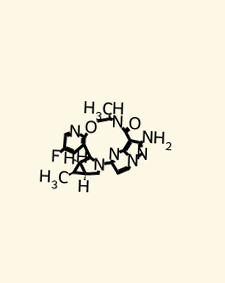 C[C@@H]1[C@@H]2CN3c4ccn5nc(N)c(c5n4)C(=O)N[C@H](C)COc4ncc(F)cc4[C@@H]3[C@H]12